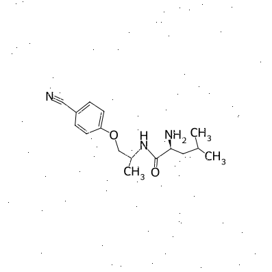 CC(C)C[C@H](N)C(=O)NC(C)COc1ccc(C#N)cc1